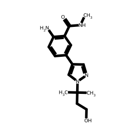 CNC(=O)c1cc(-c2cnn(C(C)(C)CCO)c2)ccc1N